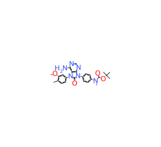 COc1cc(-n2c(=O)n(-c3ccc(N(C)C(=O)OC(C)(C)C)cc3)c3ncnc(N)c32)ccc1C